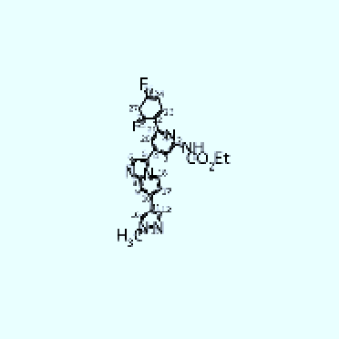 CCOC(=O)Nc1cc(-c2cnc3cc(-c4cnn(C)c4)ccn23)cc(C2=CC=C(F)CC2F)n1